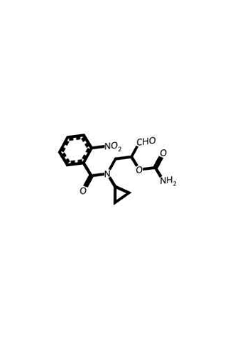 NC(=O)OC(C=O)CN(C(=O)c1ccccc1[N+](=O)[O-])C1CC1